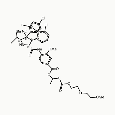 COCCOCCOC(=O)OC(C)OC(=O)c1ccc(NC(=O)[C@@H]2N[C@@H](C(C)C(C)(C)C)[C@](C#N)(c3ccc(Cl)cc3F)[C@H]2c2cccc(Cl)c2F)c(OC)c1